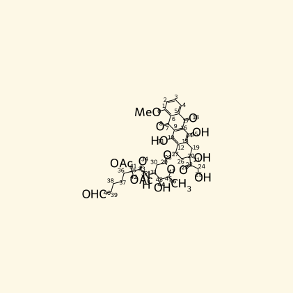 COc1cccc2c1C(=O)c1c(O)c3c(c(O)c1C2=O)C[C@@](O)(C(=O)CO)C[C@@H]3OC1CC(NC(=O)C(CCCCC=O)(OC(C)=O)OC(C)=O)C(O)C(C)O1